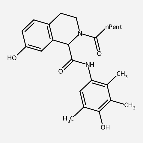 CCCCCC(=O)N1CCc2ccc(O)cc2C1C(=O)Nc1cc(C)c(O)c(C)c1C